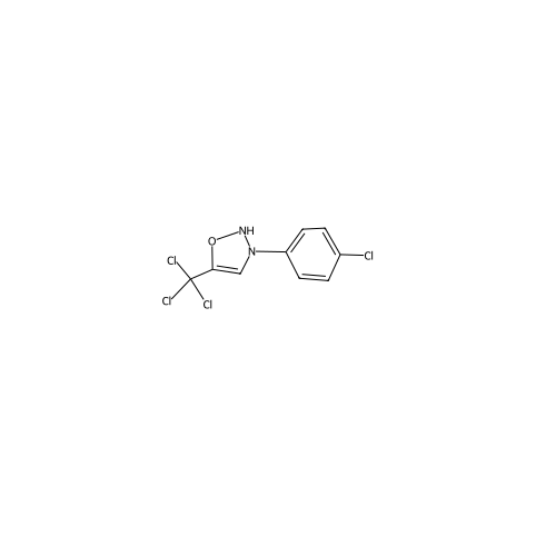 Clc1ccc(N2C=C(C(Cl)(Cl)Cl)ON2)cc1